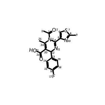 CC(=O)N1C(c2csc(C)n2)=NC(c2ccc(F)cc2)C(C(=O)O)=C1C